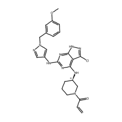 C=CC(=O)N1CCC[C@@H](Nc2nc(Nc3cnn(Cc4cccc(OC)c4)c3)nc3[nH]nc(Cl)c23)C1